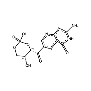 Nc1nc2ncc(C(=O)[C@H]3OP(=O)(O)OC[C@H]3O)nc2c(=O)[nH]1